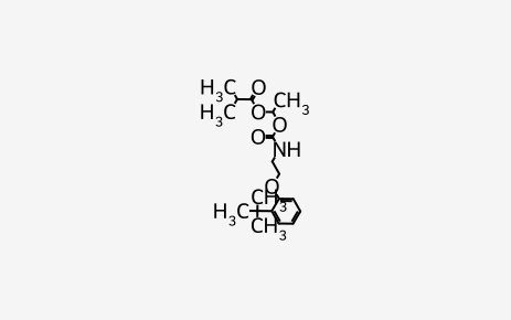 CC(OC(=O)NCCOc1ccccc1C(C)(C)C)OC(=O)C(C)C